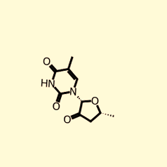 Cc1cn([C@@H]2O[C@H](C)CC2=O)c(=O)[nH]c1=O